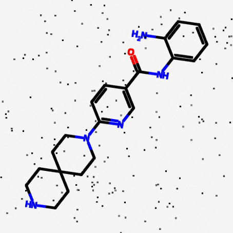 Nc1ccccc1NC(=O)c1ccc(N2CCC3(CCNCC3)CC2)nc1